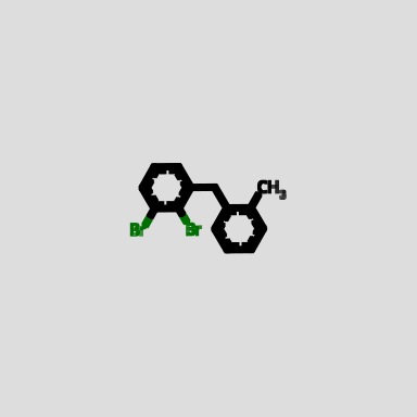 Cc1ccccc1Cc1cccc(Br)c1Br